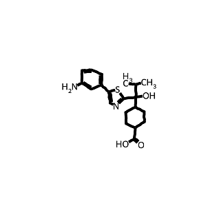 CC(C)C(O)(c1ncc(-c2cccc(N)c2)s1)C1CCC(C(=O)O)CC1